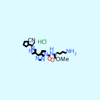 COC(=O)[C@H](CCCCN)NC(=O)n1ccc2c(-c3cnn([C@H](CC#N)C4CCCC4)c3)ncnc21.Cl